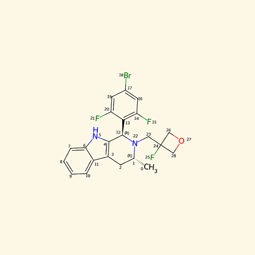 C[C@@H]1Cc2c([nH]c3ccccc23)[C@@H](c2c(F)cc(Br)cc2F)N1CC1(F)COC1